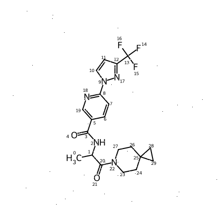 CC(NC(=O)c1ccc(-n2ccc(C(F)(F)F)n2)nc1)C(=O)N1CCC2(CC1)CC2